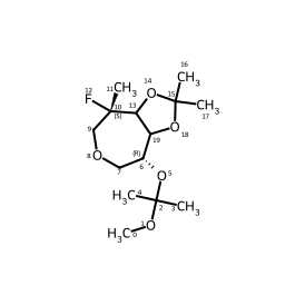 COC(C)(C)O[C@@H]1COC[C@](C)(F)C2OC(C)(C)OC21